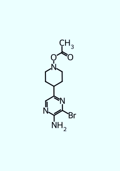 CC(=O)ON1CCC(c2cnc(N)c(Br)n2)CC1